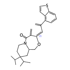 C=C1C(=O)N2CCC(C(C)C)(C(C)C)CC2CO/C1=C/C(=C)c1cccc2sccc12